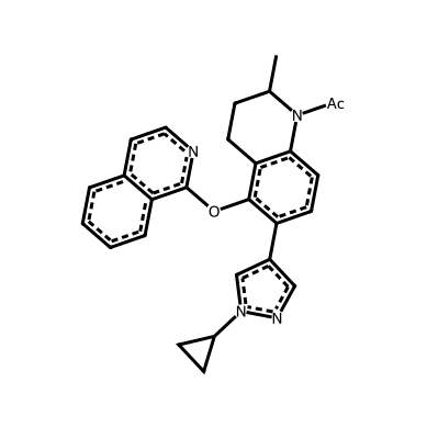 CC(=O)N1c2ccc(-c3cnn(C4CC4)c3)c(Oc3nccc4ccccc34)c2CCC1C